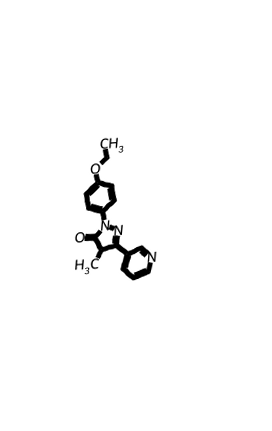 CCOc1ccc(N2N=C(c3cccnc3)C(C)C2=O)cc1